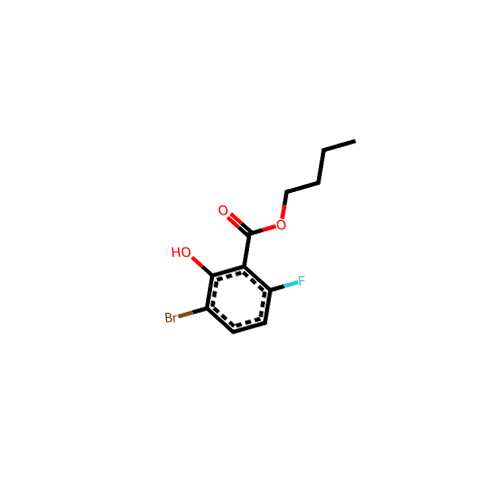 CCCCOC(=O)c1c(F)ccc(Br)c1O